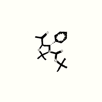 CC(=O)C1OC(C)(C)N(C(=O)OC(C)(C)C)[C@H]1c1ccccc1